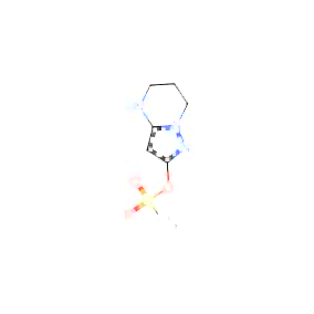 O=S(=O)(Oc1cc2n(n1)CCCN2)C(F)(F)F